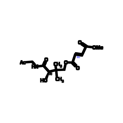 COC(=O)/C=C/C(=O)OCC(C)(C)[C@@H](O)C(=O)NCC(C)=O